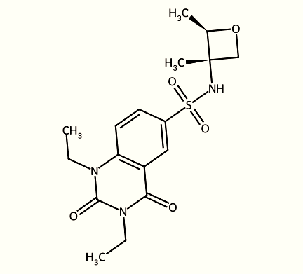 CCn1c(=O)c2cc(S(=O)(=O)N[C@@]3(C)CO[C@@H]3C)ccc2n(CC)c1=O